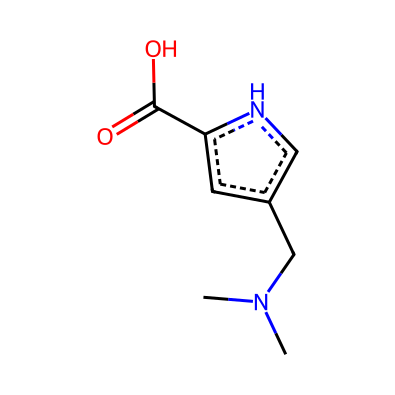 CN(C)Cc1c[nH]c(C(=O)O)c1